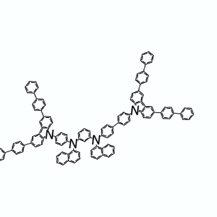 c1ccc(-c2ccc(-c3ccc4c(c3)c3cc(-c5ccc(-c6ccccc6)cc5)ccc3n4-c3ccc(-c4ccc(N(c5cccc(N(c6ccc(-n7c8ccc(-c9ccc(-c%10ccccc%10)cc9)cc8c8cc(-c9ccc(-c%10ccccc%10)cc9)ccc87)cc6)c6cccc7ccccc67)c5)c5cccc6ccccc56)cc4)cc3)cc2)cc1